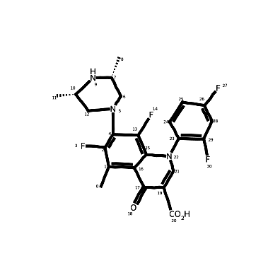 Cc1c(F)c(N2C[C@@H](C)N[C@@H](C)C2)c(F)c2c1c(=O)c(C(=O)O)cn2-c1ccc(F)cc1F